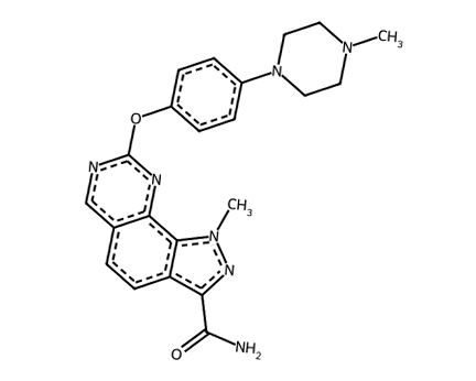 CN1CCN(c2ccc(Oc3ncc4ccc5c(C(N)=O)nn(C)c5c4n3)cc2)CC1